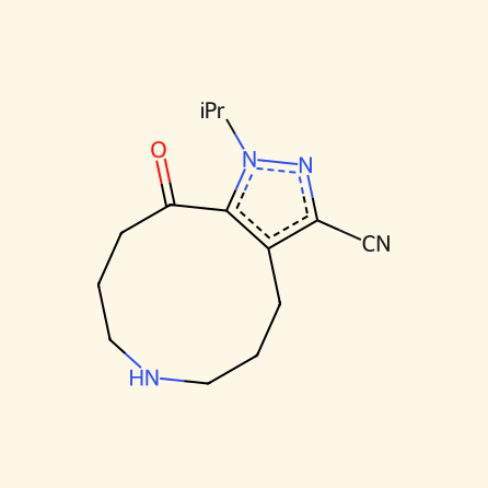 CC(C)n1nc(C#N)c2c1C(=O)CCCNCCC2